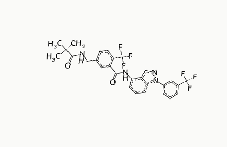 CC(C)(C)C(=O)NCc1ccc(C(F)(F)F)c(C(=O)Nc2cccc3c2cnn3-c2cccc(C(F)(F)F)c2)c1